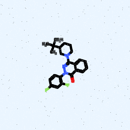 CC(C)(C(=O)O)C1CCCN(c2nn(-c3ccc(F)cc3F)c(=O)c3ccccc23)C1